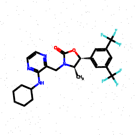 C[C@H]1[C@@H](c2cc(C(F)(F)F)cc(C(F)(F)F)c2)OC(=O)N1Cc1nccnc1NC1CCCCC1